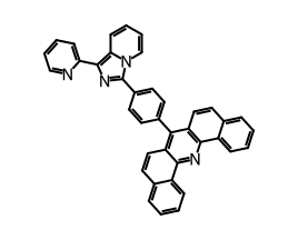 c1ccc(-c2nc(-c3ccc(-c4c5ccc6ccccc6c5nc5c4ccc4ccccc45)cc3)n3ccccc23)nc1